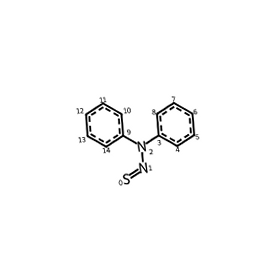 S=NN(c1ccccc1)c1ccccc1